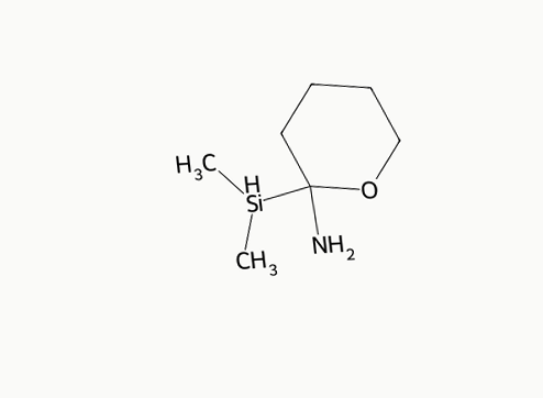 C[SiH](C)C1(N)CCCCO1